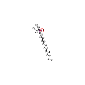 CCCCCCCCCCCCCCCC[P](=O)C(CC)CC